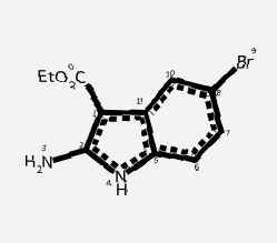 CCOC(=O)c1c(N)[nH]c2ccc(Br)cc12